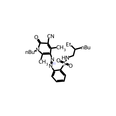 CCCCC(CC)CNS(=O)(=O)c1ccccc1/N=N/c1c(C)c(C#N)c(=O)n(CCCC)c1C